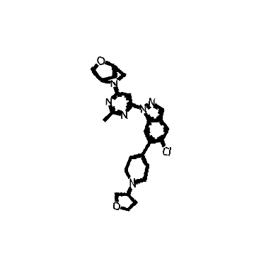 Cc1nc(N2CC3CC2CO3)cc(-n2ncc3cc(Cl)c(C4CCN(C5CCOC5)CC4)cc32)n1